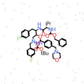 CC(C)[C@H](NC(=O)OCc1ccccc1)C(=O)NC(Cc1ccc(F)cc1)C(CN(Cc1ccc(F)cc1)NC(=O)OC(C)(C)C)OC(=O)c1ccc(CN2CCOCC2)cc1